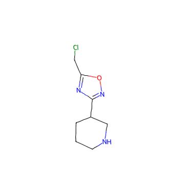 ClCc1nc(C2CCCNC2)no1